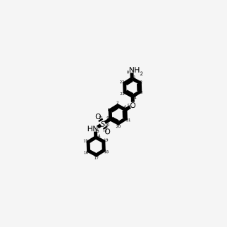 Nc1ccc(Oc2ccc(S(=O)(=O)NC3CCCCC3)cc2)cc1